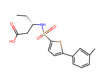 CC[C@@H](CC(=O)O)NS(=O)(=O)c1ccc(-c2cccc(C)c2)s1